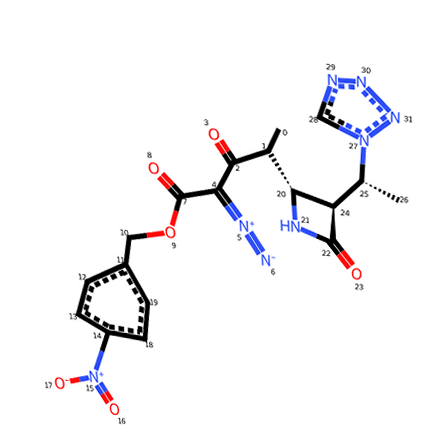 CC(C(=O)C(=[N+]=[N-])C(=O)OCc1ccc([N+](=O)[O-])cc1)[C@H]1NC(=O)[C@@H]1[C@@H](C)n1cnnn1